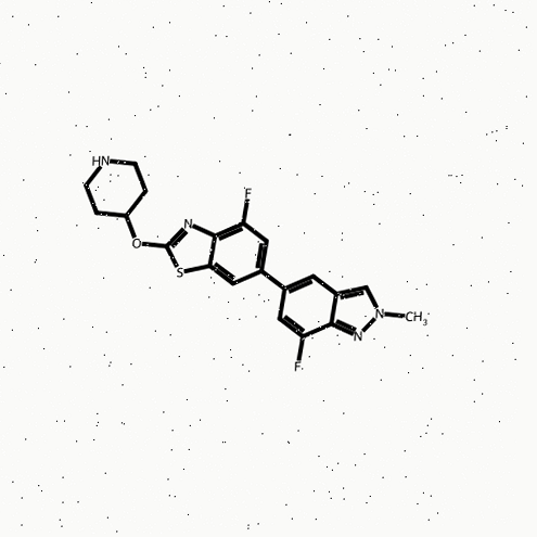 Cn1cc2cc(-c3cc(F)c4nc(OC5CCNCC5)sc4c3)cc(F)c2n1